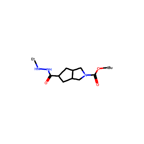 CCNNC(=O)C1CC2CN(C(=O)OC(C)(C)C)CC2C1